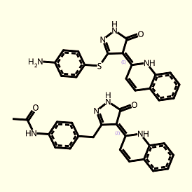 CC(=O)Nc1ccc(CC2=NNC(=O)/C2=C2/C=Cc3ccccc3N2)cc1.Nc1ccc(SC2=NNC(=O)/C2=C2/C=Cc3ccccc3N2)cc1